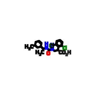 CC1CC=CC(C(C)NC(=O)NCC(C(=O)O)c2c(Cl)cccc2Cl)C1